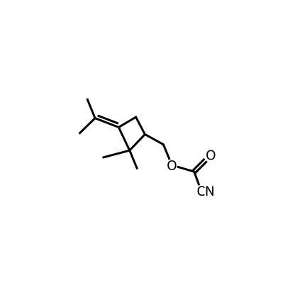 CC(C)=C1CC(COC(=O)C#N)C1(C)C